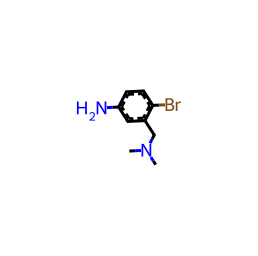 CN(C)Cc1cc(N)ccc1Br